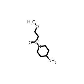 COCC[S+]([O-])N1CCC(N)CC1